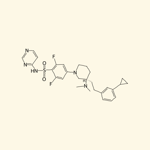 CN(C)[C@]1(CCc2cccc(C3CC3)c2)CCCN(c2cc(F)c(S(=O)(=O)Nc3ccncn3)c(F)c2)C1